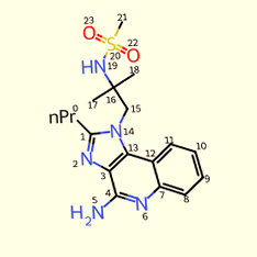 CCCc1nc2c(N)nc3ccccc3c2n1CC(C)(C)NS(C)(=O)=O